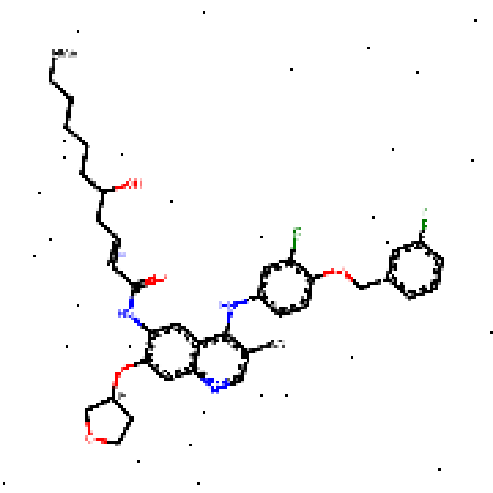 CNCCCCCC(O)C/C=C/C(=O)Nc1cc2c(Nc3ccc(OCc4cccc(F)c4)c(Cl)c3)c(C#N)cnc2cc1O[C@H]1CCOC1